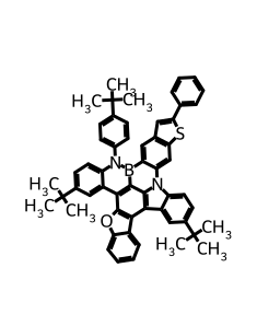 CC(C)(C)c1ccc(N2B3c4cc5cc(-c6ccccc6)sc5cc4-n4c5ccc(C(C)(C)C)cc5c5c6c(oc7ccccc76)c(c3c54)-c3cc(C(C)(C)C)ccc32)cc1